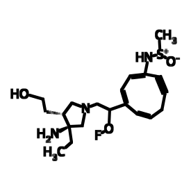 CC[C@@]1(N)CN(CC(OF)/C2=C/C=C(/N[S+](C)[O-])C#CCC=C2)C[C@H]1CCO